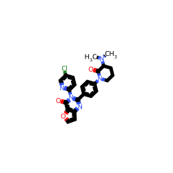 CN(C)C1CCCN(c2ccc(-c3nc4ccoc4c(=O)n3-c3ccc(Cl)cn3)cc2)C1=O